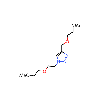 CNCCOCc1cn(CCOCCOC)nn1